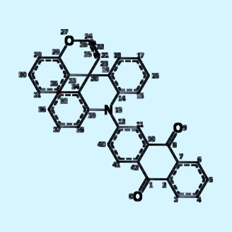 O=C1c2ccccc2C(=O)c2cc(N3c4ccccc4C4(c5ccccc5Oc5ccccc54)c4ccccc43)ccc21